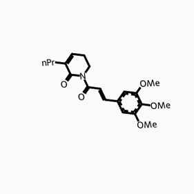 CCCC1=CCCN(C(=O)C=Cc2cc(OC)c(OC)c(OC)c2)C1=O